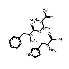 C[C@@H](OC(=O)[C@@H](N)Cc1ccccc1)[C@H](N)C(=O)O.N[C@@H](Cc1c[nH]cn1)C(=O)O